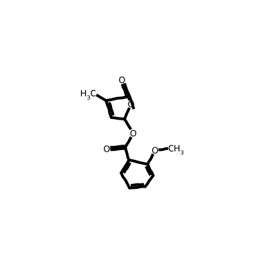 COc1ccccc1C(=O)OC1C=C(C)C(=O)O1